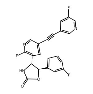 O=C1N[C@H](c2cc(C#Cc3cncc(F)c3)cnc2F)[C@@H](c2cccc(F)c2)O1